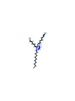 CCCCCCCCCCCn1cc[n+](CCCCCCCC)c1CCCCCC